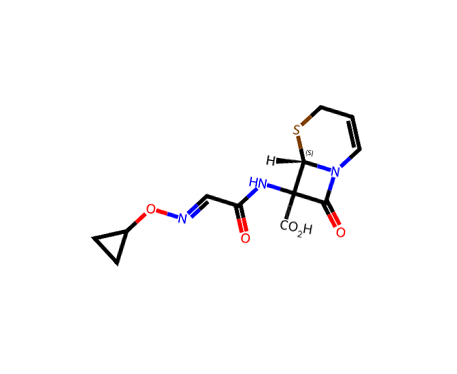 O=C(C=NOC1CC1)NC1(C(=O)O)C(=O)N2C=CCS[C@H]21